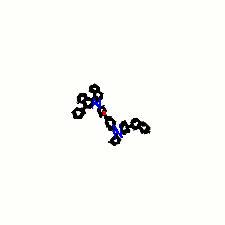 C1=CCC(c2cc3c(c4ccccc24)c2c4ccccc4ccc2n3-c2ccc(-c3ccc(N(c4ccccc4)c4ccc(-c5ccc6ccccc6c5)cc4)cc3)cc2)C=C1